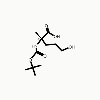 CC(C)(C)OC(=O)N[C@@](C)(CCCO)C(=O)O